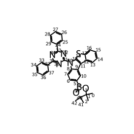 CC1(C)OB(c2ccc3c(c2)c2c4ccccc4sc2n3-c2nc(-c3ccccc3)nc(-c3ccccc3)n2)OC1(C)C